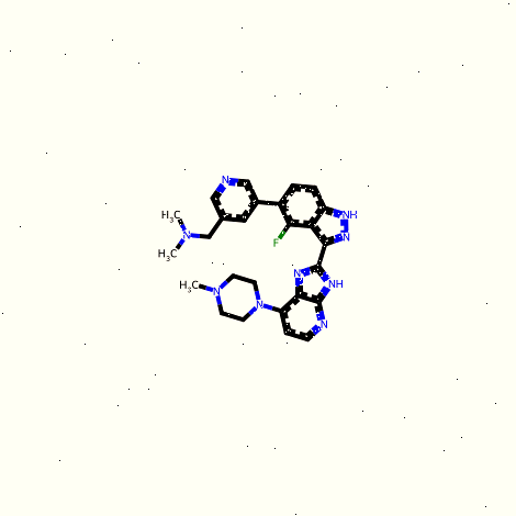 CN(C)Cc1cncc(-c2ccc3[nH]nc(-c4nc5c(N6CCN(C)CC6)ccnc5[nH]4)c3c2F)c1